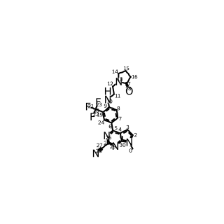 Cn1ccc2c(-c3ccc(NCCN4CCCC4=O)c(C(F)(F)F)c3)nc(C#N)nc21